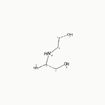 CCCC(CO)NCCO